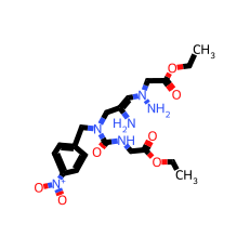 CCOC(=O)CNC(=O)N(C/C(N)=C/N(N)CC(=O)OCC)Cc1ccc([N+](=O)[O-])cc1